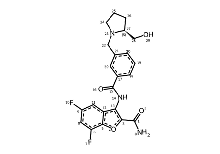 NC(=O)c1oc2c(F)cc(F)cc2c1NC(=O)c1cccc(CN2CCC[C@H]2CO)c1